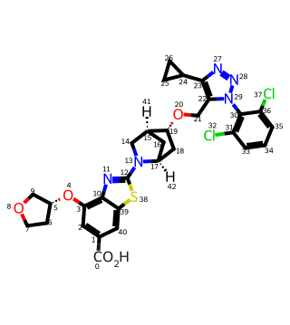 O=C(O)c1cc(O[C@@H]2CCOC2)c2nc(N3C[C@@H]4C[C@H]3C[C@H]4OCc3c(C4CC4)nnn3-c3c(Cl)cccc3Cl)sc2c1